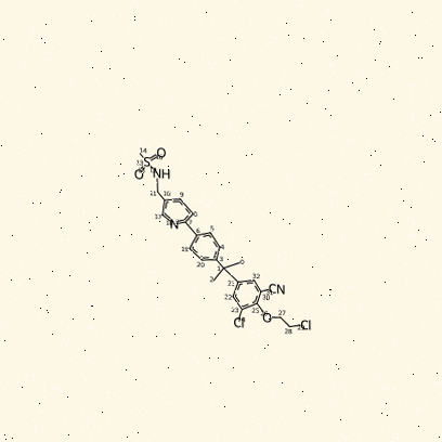 CC(C)(c1ccc(-c2ccc(CNS(C)(=O)=O)cn2)cc1)c1cc(Cl)c(OCCCl)c(C#N)c1